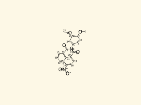 COc1ccc(N2C(=O)c3cccc4c([N+](=O)[O-])ccc(c34)C2=O)cc1OC